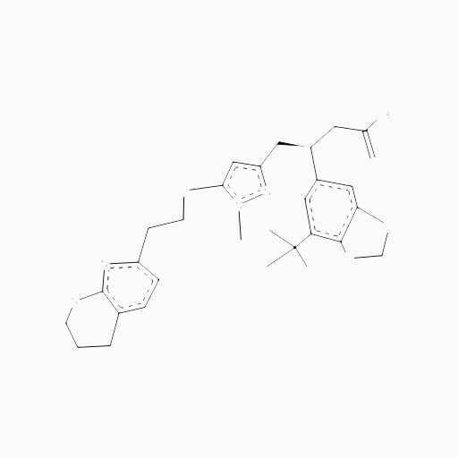 Cn1nc(C[C@@H](CC(=O)O)c2cc3c(c(C(C)(C)C)c2)OCO3)cc1OCCc1ccc2c(n1)NCCC2